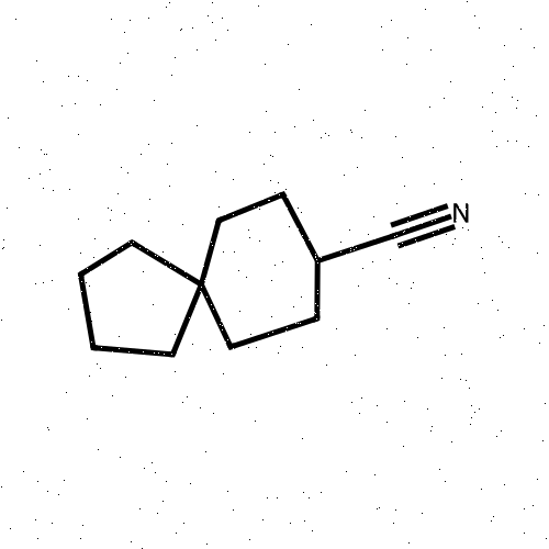 N#CC1CCC2(CCCC2)CC1